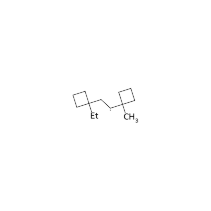 CCC1(C[CH]C2(C)CCC2)CCC1